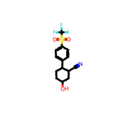 N#CC1CC(O)CCC1c1c[c]c(S(=O)(=O)C(F)(F)F)cc1